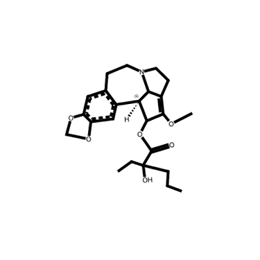 CCCC(O)(CC)C(=O)OC1C(OC)=C2CCN3CCc4cc5c(cc4[C@H]1C23)OCO5